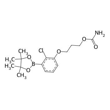 CC1(C)OB(c2cccc(OCCCOC(N)=O)c2Cl)OC1(C)C